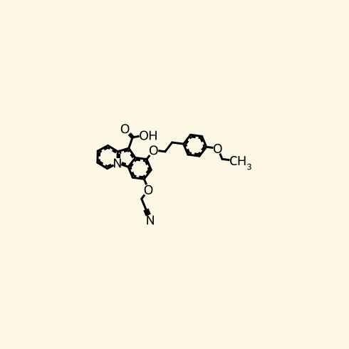 CCOc1ccc(CCOc2cc(OCC#N)cc3c2c(C(=O)O)c2ccccn23)cc1